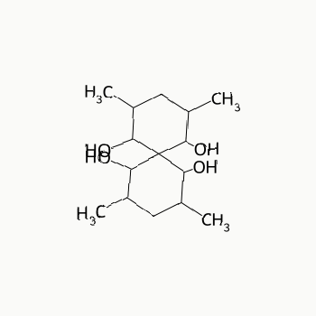 CC1CC(C)C(O)C2(C1O)C(O)C(C)CC(C)C2O